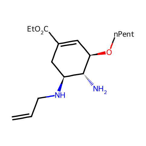 C=CCN[C@H]1CC(C(=O)OCC)=C[C@@H](OCCCCC)[C@@H]1N